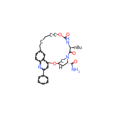 CCCC[C@@H]1NC(=O)OCCCCCc2ccc3nc(-c4ccccc4)cc(c3c2)O[C@@H]2C[C@@H](C(N)=O)N(C2)C1=O